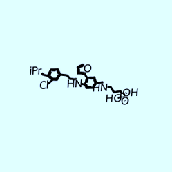 CC(C)Cc1ccc(CCCNc2ccc(CNCCCP(=O)(O)O)cc2-c2ccco2)cc1Cl